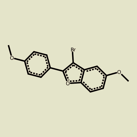 COc1ccc(-c2oc3ccc(OC)cc3c2Br)cc1